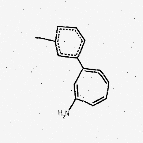 Cc1cccc(C2=C=CC=CC(N)=C2)c1